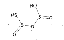 O=S(O)OS(=O)S